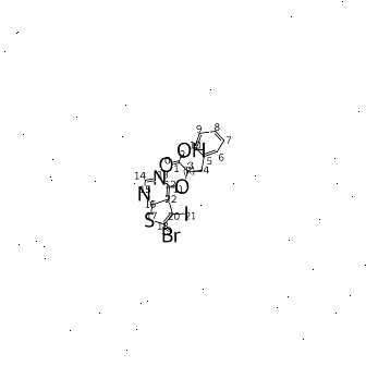 O=C(O)[C@@H](Cc1ccccc1)Oc1ncnc2sc(Br)c(I)c12